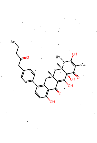 CC(=O)CCC(=O)Cc1ccc(-c2ccc(O)c3c2C[C@]2(C)C[C@]4(C)C(C(C)C)C(O)=C(C(C)=O)C(=O)[C@]4(O)C(O)=C2C3=O)cc1